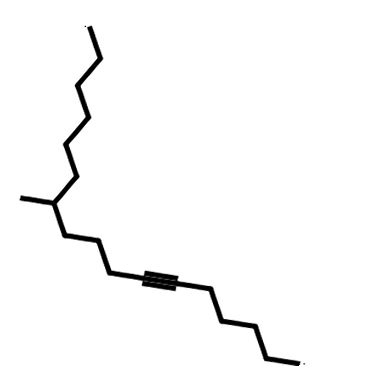 [CH2]CCCCC#CCCCC(C)CCCCC[CH2]